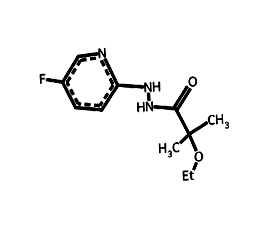 CCOC(C)(C)C(=O)NNc1ccc(F)cn1